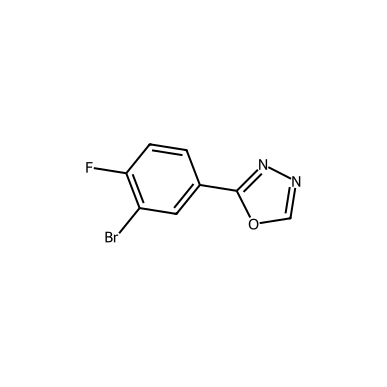 Fc1ccc(-c2nnco2)cc1Br